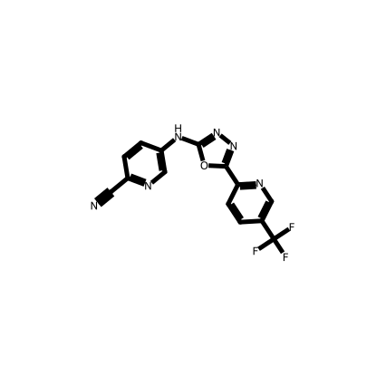 N#Cc1ccc(Nc2nnc(-c3ccc(C(F)(F)F)cn3)o2)cn1